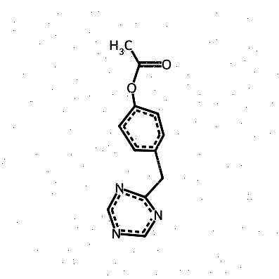 CC(=O)Oc1ccc(Cc2ncncn2)cc1